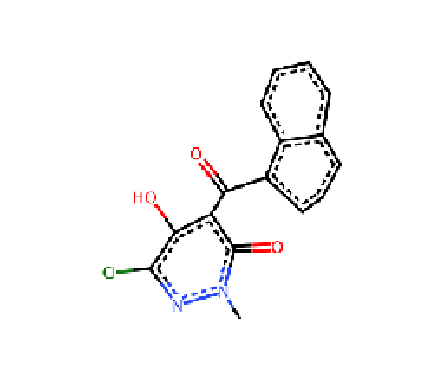 Cn1nc(Cl)c(O)c(C(=O)c2cccc3ccccc23)c1=O